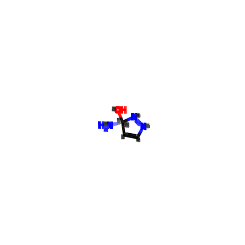 N[C@@]1(O)C=CN=N1